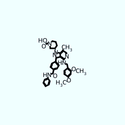 COc1ccc(CNc2ncc(C)c3c2c(-c2ccc(C(=O)Nc4ccccc4)cc2)nn3[C@@H]2CCCN(C(=O)O)C2)c(OC)c1